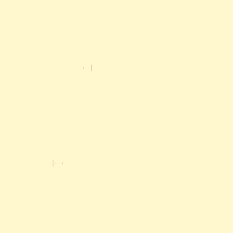 CO.Oc1ccc2ccc3cccc4ccc1c2c34